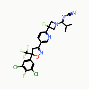 CC(C)C(=NC#N)N1CC(F)(c2ccc(C3=NOC(c4cc(Cl)c(F)c(Cl)c4)(C(F)(F)F)C3)cn2)C1